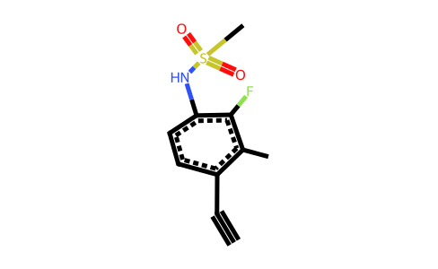 C#Cc1ccc(NS(C)(=O)=O)c(F)c1C